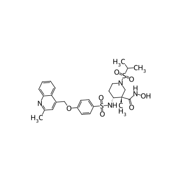 Cc1cc(COc2ccc(S(=O)(=O)N[C@@H]3CCN(S(=O)(=O)C(C)C)C[C@]3(C)C(=O)NO)cc2)c2ccccc2n1